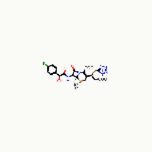 O=C([O-])CC(Sc1nnn[nH]1)C1=C(C(=O)[O-])N2C(=O)C(NC(=O)C(O)c3ccc(F)cc3)[C@@H]2SC1.[K+].[K+]